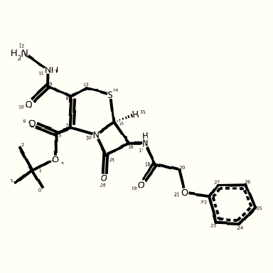 CC(C)(C)OC(=O)C1=C(C(=O)NN)CS[C@H]2C(NC(=O)COc3ccccc3)C(=O)N12